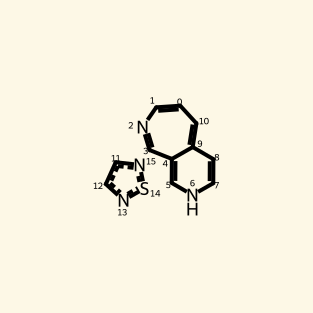 C1=CN=CC2=CNC=CC2=C1.c1cnsn1